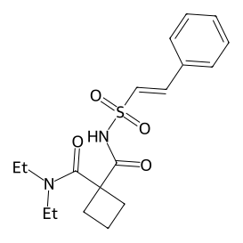 CCN(CC)C(=O)C1(C(=O)NS(=O)(=O)/C=C/c2ccccc2)CCC1